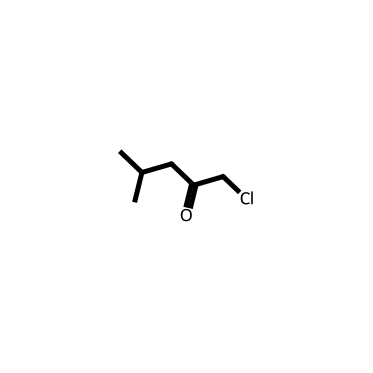 CC(C)CC(=O)CCl